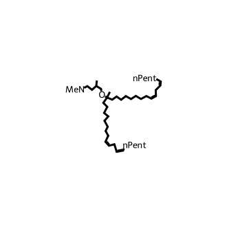 CCCCC/C=C\C/C=C\CCCCCCCCC(C)(CCCCCCCC/C=C\C/C=C\CCCCC)OCC(C)CCNC